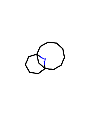 C1CCCC23CCCCC(CCC1)(C2)N3